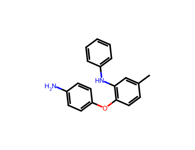 Cc1ccc(Oc2ccc(N)cc2)c(Nc2ccccc2)c1